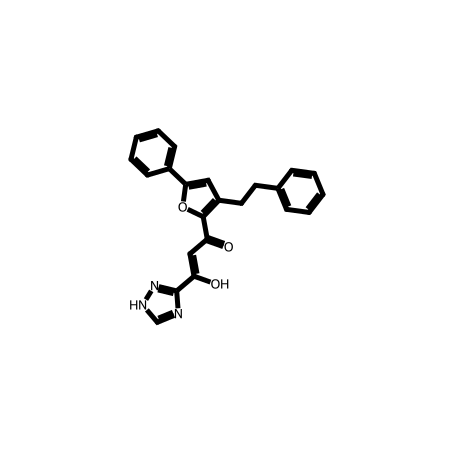 O=C(C=C(O)c1nc[nH]n1)c1oc(-c2ccccc2)cc1CCc1ccccc1